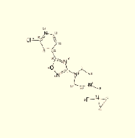 FC1(CN2CCN(c3noc(-c4ccnc(Cl)c4)n3)CC2)CC1